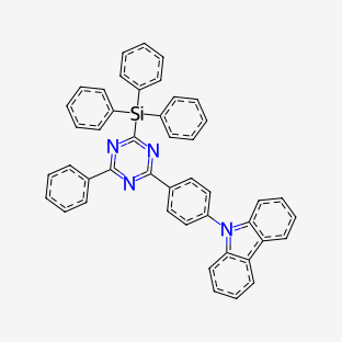 c1ccc(-c2nc(-c3ccc(-n4c5ccccc5c5ccccc54)cc3)nc([Si](c3ccccc3)(c3ccccc3)c3ccccc3)n2)cc1